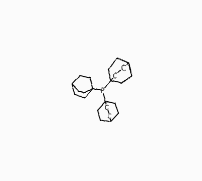 C1CC2(P(C34CCC(CC3)CC4)C34CCC(CC3)CC4)CCC1CC2